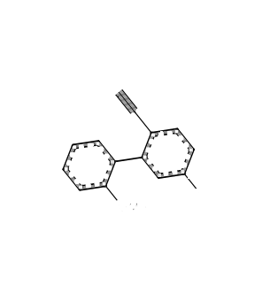 C#Cc1ccc(Cl)cc1-c1ccccc1OC